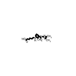 Cc1nc(NC(=O)c2cccc(NCCCCCC(=O)O)c2C)sc1C